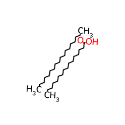 CCCCCCCCCCCCCCCC(=O)O.CCCCCCCCCCCCCCCCCC